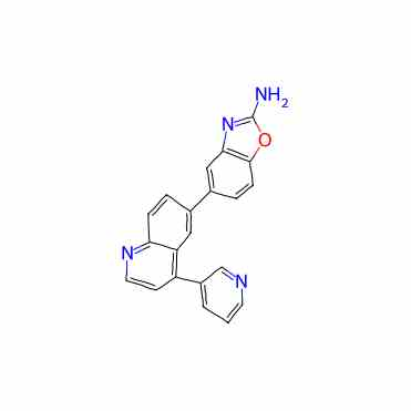 Nc1nc2cc(-c3ccc4nccc(-c5cccnc5)c4c3)ccc2o1